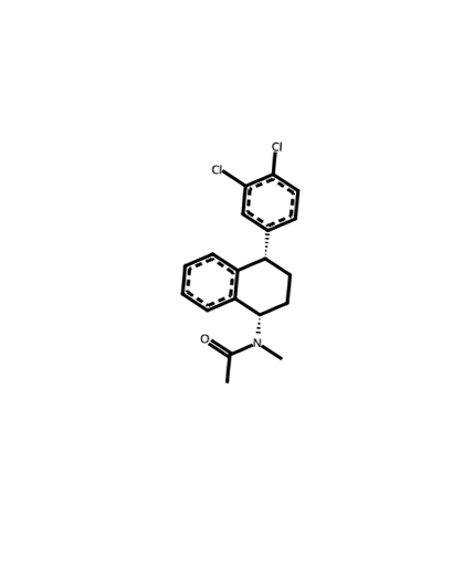 CC(=O)N(C)[C@H]1CC[C@@H](c2ccc(Cl)c(Cl)c2)c2ccccc21